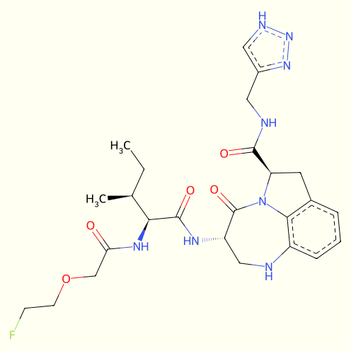 CC[C@H](C)[C@H](NC(=O)COCCF)C(=O)N[C@H]1CNc2cccc3c2N(C1=O)[C@@H](C(=O)NCc1c[nH]nn1)C3